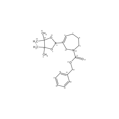 CC1(C)OB(C2=CCCCN(C(=O)OCc3ccccc3)C2)OC1(C)C